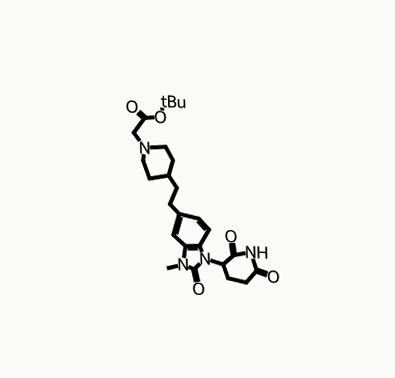 Cn1c(=O)n(C2CCC(=O)NC2=O)c2ccc(CCC3CCN(CC(=O)OC(C)(C)C)CC3)cc21